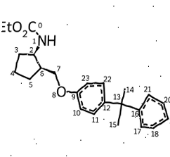 CCOC(=O)N[C@@H]1CCC[C@@H]1COc1ccc(C(C)(C)c2ccccc2)cc1